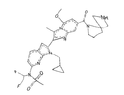 COc1cc(C(=O)N2CCCC23CNC3)cc2nc(-c3cc4ccc(N(C(F)F)S(C)(=O)=O)nc4n3CC3CC3)c(C)n12